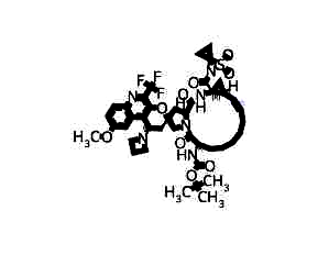 COc1ccc2nc(C(F)(F)F)c3c(c2c1)[C@H](N1CCC1)C[C@]1(C[C@H]2C(=O)N[C@]4(C(=O)N5C6(CC6)S5(=O)=O)C[C@H]4/C=C\CCCCC[C@H](NC(=O)OC(C)(C)C)C(=O)N2C1)O3